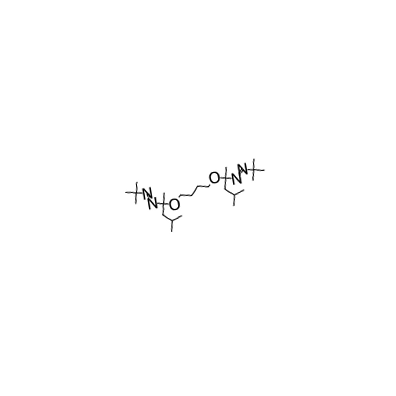 CC(C)CC(C)(/N=N/C(C)(C)C)OCCCCOC(C)(CC(C)C)/N=N/C(C)(C)C